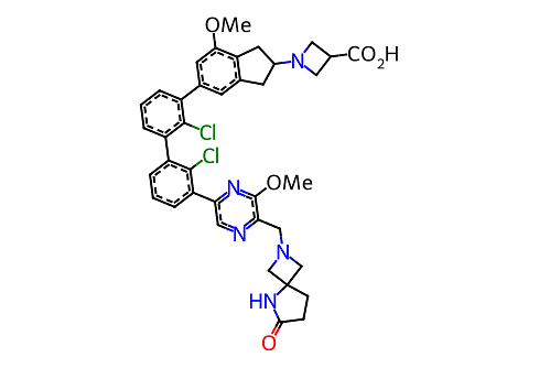 COc1cc(-c2cccc(-c3cccc(-c4cnc(CN5CC6(CCC(=O)N6)C5)c(OC)n4)c3Cl)c2Cl)cc2c1CC(N1CC(C(=O)O)C1)C2